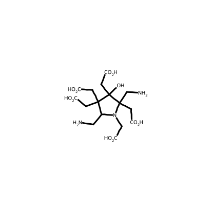 NCC1N(CC(=O)O)C(CN)(CC(=O)O)C(O)(CC(=O)O)C1(CC(=O)O)CC(=O)O